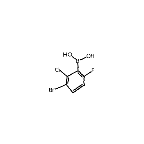 OB(O)c1c(F)ccc(Br)c1Cl